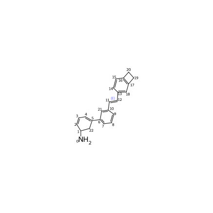 NC1C=CC=C(c2cccc(/C=C/c3ccc4c(c3)CC4)c2)C1